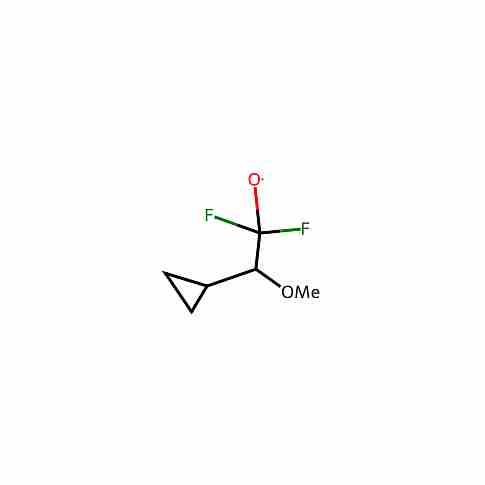 COC(C1CC1)C([O])(F)F